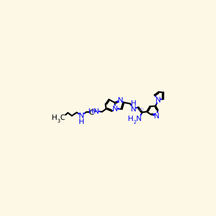 CCCCNCCNCc1ccc2nc(CN/C=C(\N)c3cncc(-n4cccc4)c3)cn2c1